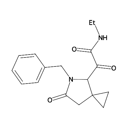 CCNC(=O)C(=O)C1N(Cc2ccccc2)C(=O)CC12CC2